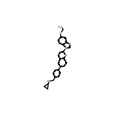 CCOc1ccc2c(c1)ncn2-c1ccc2cc(-c3ccc(CNC4CC4)cc3)ccc2n1